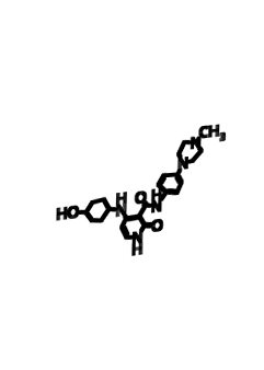 CN1CCN(c2ccc(NC(=O)c3c(NC4CCC(O)CC4)cc[nH]c3=O)cc2)CC1